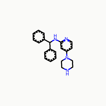 c1ccc(C(Nc2cc(N3CCNCC3)ccn2)c2ccccc2)cc1